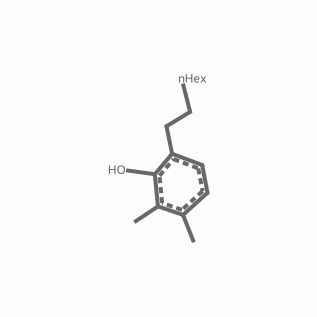 CCCCCCCCc1ccc(C)c(C)c1O